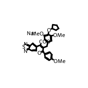 COc1ccc(C(=O)/C(Cc2cc(OC)c(OC3CCCC3)c(OC)c2)=C(/C(=O)[O-])c2ccc3nsnc3c2)cc1.[Na+]